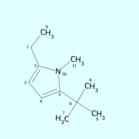 CCc1ccc(C(C)(C)C)n1C